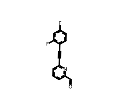 O=Cc1cccc(C#Cc2ccc(F)cc2F)n1